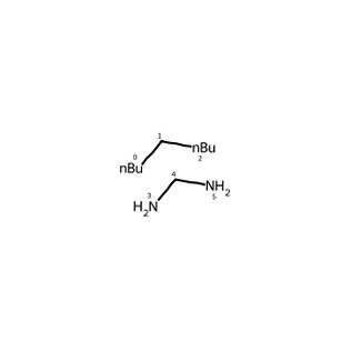 CCCCCCCCC.NCN